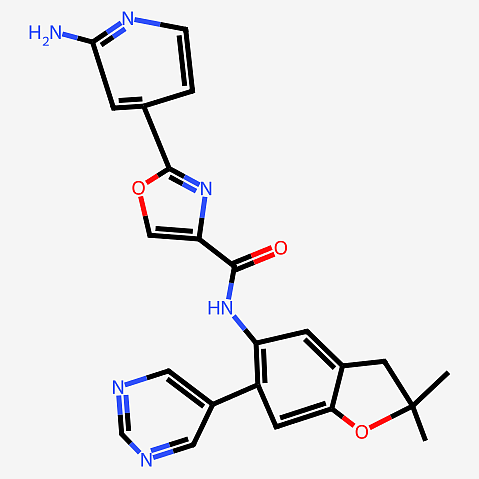 CC1(C)Cc2cc(NC(=O)c3coc(-c4ccnc(N)c4)n3)c(-c3cncnc3)cc2O1